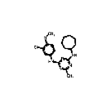 COc1ccc(Nc2nc(C)nc(NC3CCCCCC3)n2)cc1Cl